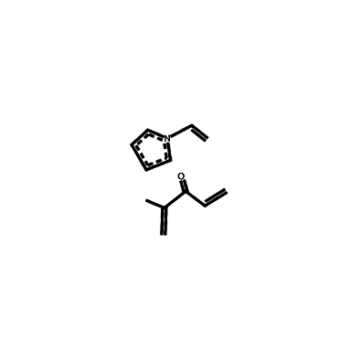 C=CC(=O)C(=C)C.C=Cn1cccc1